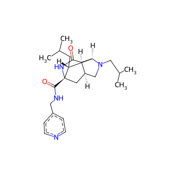 CC(C)C[C@@H]1[C@@H]2[C@@H]3C(=O)N[C@@]1(C(=O)NCc1ccncc1)C[C@@H]3CN2CC(C)C